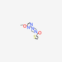 CCOc1ccnc(N2CCN(C(=O)c3cccs3)CC2)n1